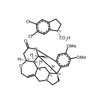 COc1cc2c(cc1OC)[C@@]13CCN4CC5=CCO[C@H]6CC(=O)N2[C@H]1[C@H]6[C@H]5C[C@H]43.O=C(O)[C@H]1CCc2cc(Cl)c(Cl)cc21